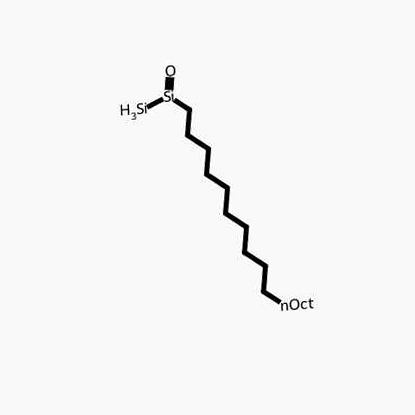 CCCCCCCCCCCCCCCCCC[Si](=O)[SiH3]